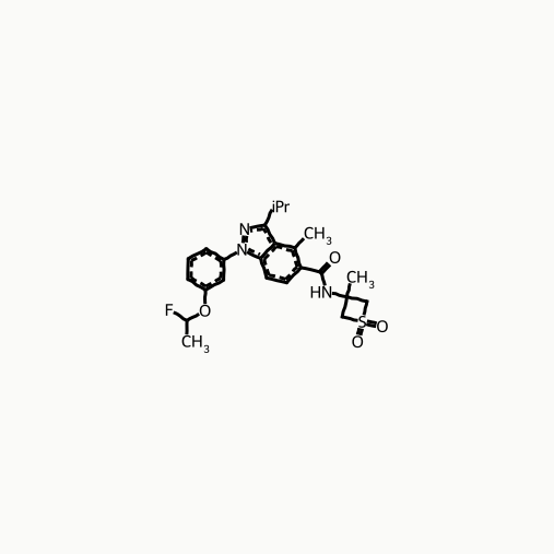 Cc1c(C(=O)NC2(C)CS(=O)(=O)C2)ccc2c1c(C(C)C)nn2-c1cccc(OC(C)F)c1